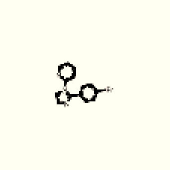 CC(C)c1ccc(-c2nccn2-c2ccccn2)cc1